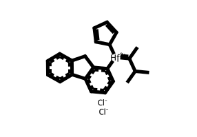 C[C](C(C)C)=[Hf+2]([c]1cccc2c1Cc1ccccc1-2)[CH]1C=CC=C1.[Cl-].[Cl-]